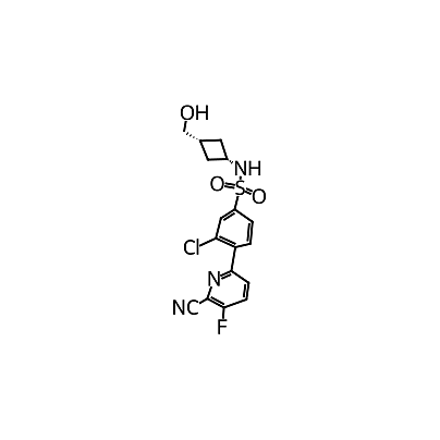 N#Cc1nc(-c2ccc(S(=O)(=O)N[C@H]3C[C@@H](CO)C3)cc2Cl)ccc1F